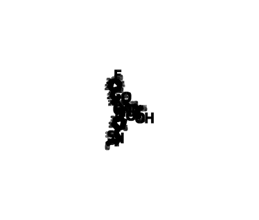 Cc1cnc(-c2ccc(C(=O)N[C@@H](CC(C)C(=O)O)C(=O)NC(C)(C)Cc3ccc(F)cc3)cc2)s1